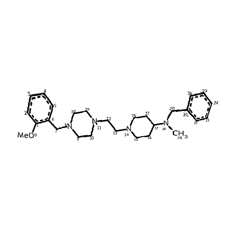 COc1ccccc1CN1CCN(CCN2CCC(N(C)Cc3ccccc3)CC2)CC1